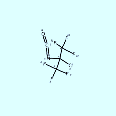 O=C=NC(Cl)(C(F)(F)F)C(F)(F)F